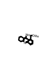 COCc1cccc2nc3c(c(N)c12)CCCC3